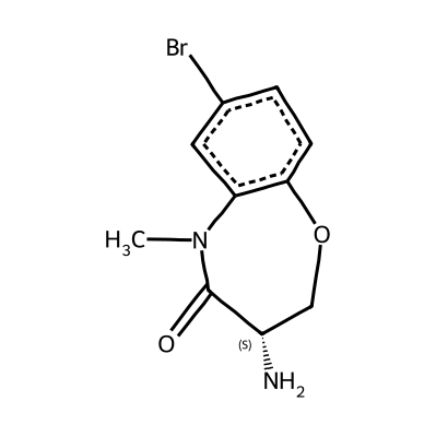 CN1C(=O)[C@@H](N)COc2ccc(Br)cc21